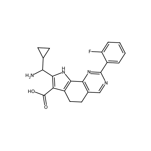 NC(c1[nH]c2c(c1C(=O)O)CCc1cnc(-c3ccccc3F)nc1-2)C1CC1